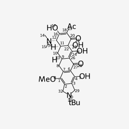 COc1c2c(c(O)c3c1C[C@H]1C[C@H]4[C@H](N(C)C)C(O)=C(C(C)=O)C(=O)[C@@]4(O)C(O)=C1C3=O)CN(C(C)(C)C)C2